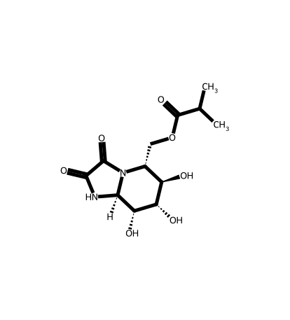 CC(C)C(=O)OC[C@@H]1[C@@H](O)[C@H](O)[C@H](O)[C@H]2NC(=O)C(=O)N12